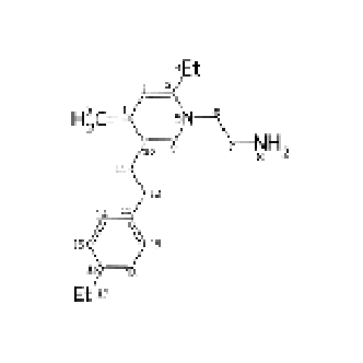 C=C1C=C(CC)N(CCN)C=C1CCc1ccc(CC)cc1